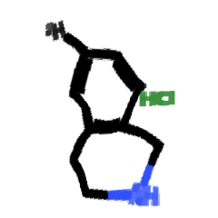 Cl.[2H]c1ccc2c(c1)CCNC2